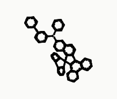 c1ccc(-c2cccc(N(c3ccccc3)c3ccc4c5c(ccc4c3)-c3c(c4ccccc4c4ccccc34)C53c4ccccc4-c4ccccc43)c2)cc1